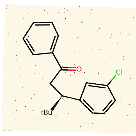 CC(C)(C)[C@@H](CC(=O)c1ccccc1)c1cccc(Cl)c1